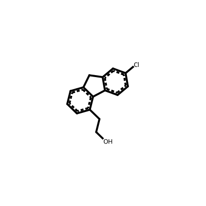 OCCc1cccc2c1-c1ccc(Cl)cc1C2